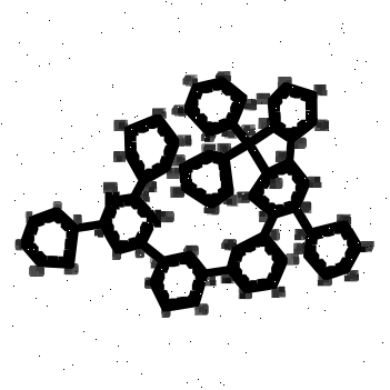 c1ccc(-c2cc(-c3cccc(-c4cccc(-c5cc6c(cc5-c5ccccc5)-c5ccccc5C6(c5ccccc5)c5ccccc5)c4)c3)nc(-c3ccccc3)n2)cc1